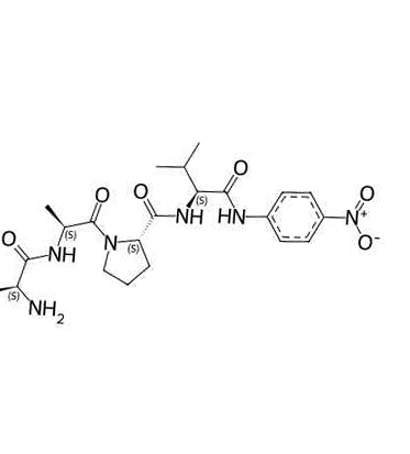 CC(C)[C@H](NC(=O)[C@@H]1CCCN1C(=O)[C@H](C)NC(=O)[C@H](C)N)C(=O)Nc1ccc([N+](=O)[O-])cc1